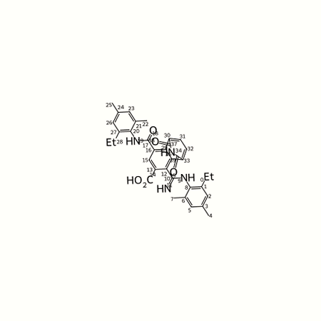 CCc1cc(C)cc(C)c1NC(=N)c1c(C(=O)O)cc(C(=O)Nc2c(C)cc(C)cc2CC)c2c3ccc(c(=O)[nH]c3=O)c12